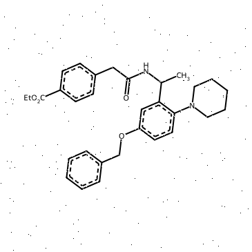 CCOC(=O)c1ccc(CC(=O)NC(C)c2cc(OCc3ccccc3)ccc2N2CCCCC2)cc1